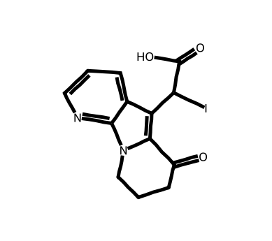 O=C1CCCn2c1c(C(I)C(=O)O)c1cccnc12